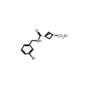 CCOC(=O)[C@]12C[C@@](C(=O)NCc3cccc(Br)c3)(C1)C2